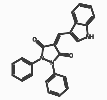 O=C1C(=Cc2c[nH]c3ccccc23)C(=O)N(c2ccccc2)N1c1ccccc1